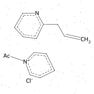 C=CCc1ccccn1.CC(=O)[n+]1ccccc1.[Cl-]